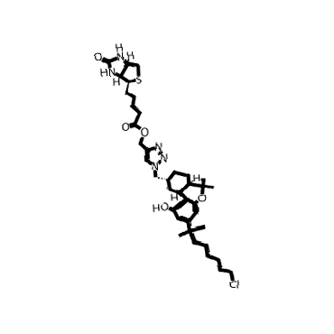 CC(C)(CCCCCCCl)c1cc(O)c2c(c1)OC(C)(C)[C@@H]1CC[C@@H](Cn3cc(COC(=O)CCCC[C@@H]4SC[C@@H]5NC(=O)N[C@@H]54)nn3)C[C@@H]21